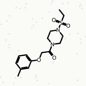 CCS(=O)(=O)N1CCN(C(=O)COc2cccc(C)c2)CC1